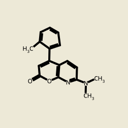 Cc1ccccc1-c1cc(=O)oc2nc(N(C)C)ccc12